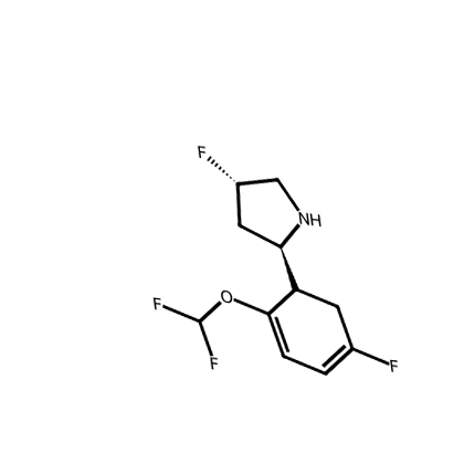 FC1=CC=C(OC(F)F)C([C@H]2C[C@H](F)CN2)C1